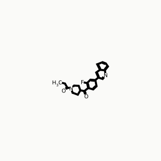 CCC(=O)N1CCC(C(=O)c2ccc(-c3cnc4ccccc4c3)cc2F)CC1